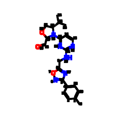 Cc1ccc(-c2noc(CNc3nccc(N4C(C=O)OC[C@@H]4C(C)C)n3)n2)cc1